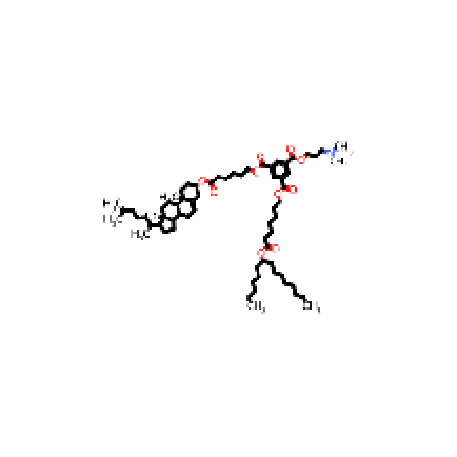 CCCCCCCCC(CCCCCC)OC(=O)CCCCCCOC(=O)c1cc(C(=O)OCCCCCC(=O)OC2CCC3(C)C(=CCC4C3CCC3(C)C(C(C)CCCC(C)C)CCC43)C2)cc(C(=O)OCCCN(C)C)c1